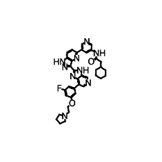 O=C(CC1CCCCC1)Nc1cncc(-c2ccc3[nH]nc(-c4nc5c(-c6cc(F)cc(OCCN7CCCC7)c6)cncc5[nH]4)c3n2)c1